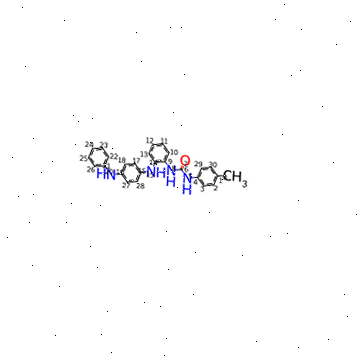 Cc1ccc(NC(=O)Nc2ccccc2Nc2ccc(Nc3ccccc3)cc2)cc1